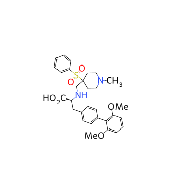 COc1cccc(OC)c1-c1ccc(C[C@H](NCC2(S(=O)(=O)c3ccccc3)CCN(C)CC2)C(=O)O)cc1